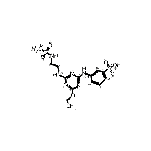 CCOc1nc(NCCNS(C)(=O)=O)nc(Nc2cccc(S(=O)(=O)O)c2)n1